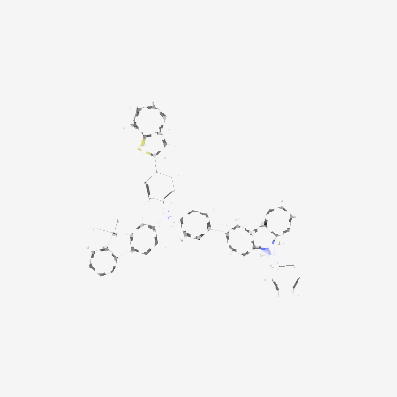 CC1(C)c2ccccc2-c2ccc(N(C3=CCC(c4cc5ccccc5s4)C=C3)c3ccc(-c4ccc5c(c4)c4ccccc4n5C4C=CC=CC4)cc3)cc21